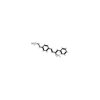 CCCc1ccc(C=CC(C)=Cc2ccccc2)cc1